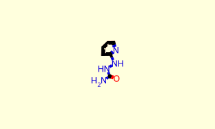 NC(=O)NNc1ccccn1